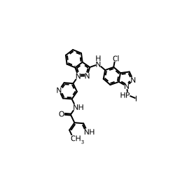 C/C=C(\C=N)C(=O)Nc1cncc(-n2nc(Nc3ccc4c(cnn4PI)c3Cl)c3ccccc32)c1